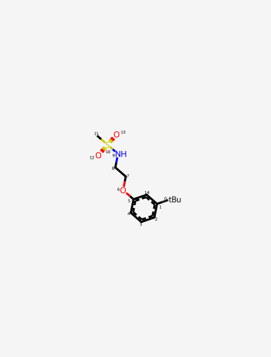 CC(C)(C)c1cccc(OCCNS(C)(=O)=O)c1